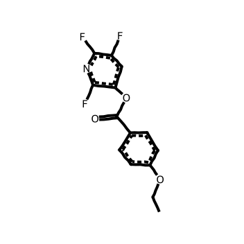 CCOc1ccc(C(=O)Oc2cc(F)c(F)nc2F)cc1